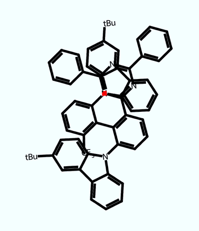 CC(C)(C)c1ccc2c(c1)c1ccccc1n2-c1cccc(-c2nc(-c3ccccc3)nc(-c3ccccc3)n2)c1-c1c(-n2c3ccccc3c3cc(C(C)(C)C)ccc32)cccc1C(F)(F)F